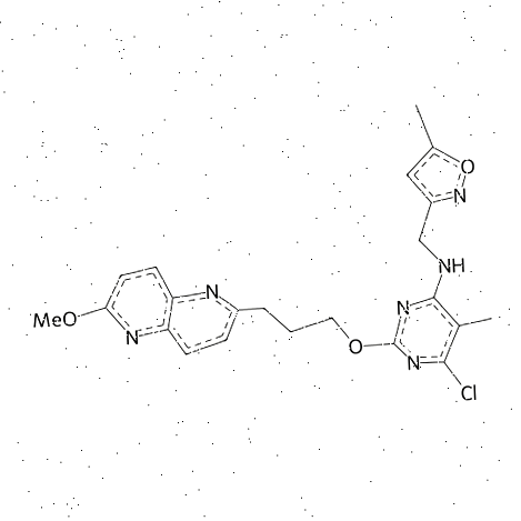 COc1ccc2nc(CCCOc3nc(Cl)c(C)c(NCc4cc(C)on4)n3)ccc2n1